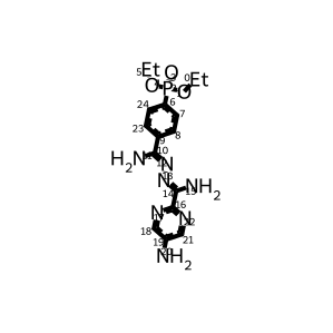 CCOP(=O)(OCC)c1ccc(/C(N)=N/N=C(\N)c2ncc(N)cn2)cc1